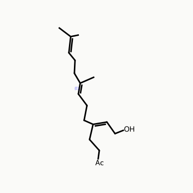 CC(=O)CCC(=CCO)CC/C=C(\C)CCC=C(C)C